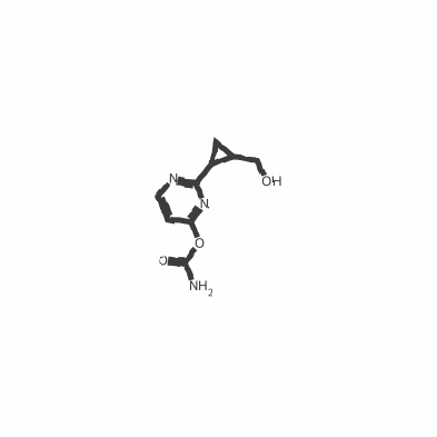 NC(=O)Oc1ccnc(C2CC2CO)n1